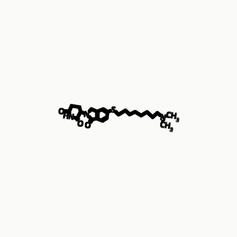 CN(C)CCCCCCCCSc1ccc2c(c1)CN(C1CCC(=O)NC1=O)C2=O